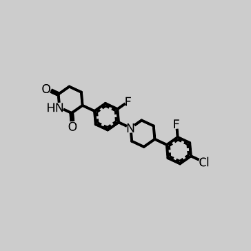 O=C1CCC(c2ccc(N3CCC(c4ccc(Cl)cc4F)CC3)c(F)c2)C(=O)N1